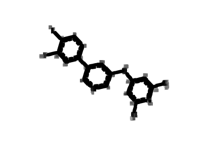 Fc1ccc(-c2cncc(Oc3cc(Cl)nc(Cl)c3)c2)cc1F